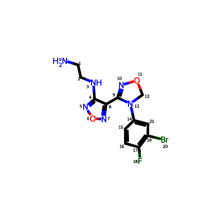 NCCNc1nonc1C1=NOCN1c1ccc(F)c(Br)c1